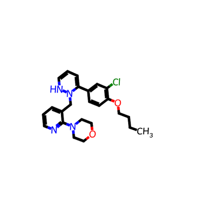 CCCCOc1ccc(C2=CC=CNN2Cc2cccnc2N2CCOCC2)cc1Cl